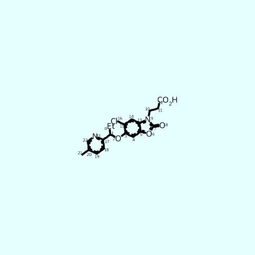 CCC(Oc1cc2oc(=O)n(CCC(=O)O)c2cc1Cl)c1ccc(C)cn1